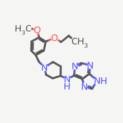 CCCOc1cc(CN2CCC(Nc3ncnc4[nH]cnc34)CC2)ccc1OC